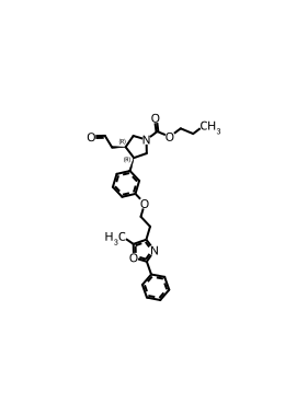 CCCOC(=O)N1C[C@H](CC=O)[C@H](c2cccc(OCCc3nc(-c4ccccc4)oc3C)c2)C1